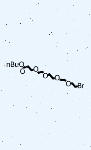 CCCCOC(=O)CCOCCOCCOCCOCCBr